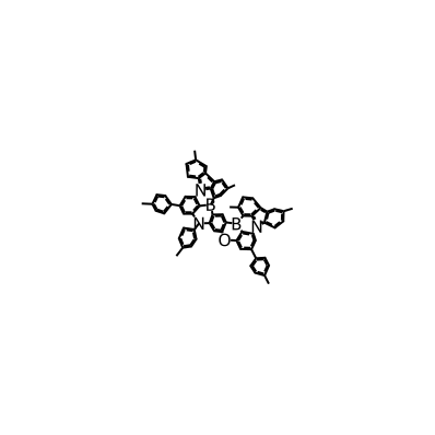 Cc1ccc(-c2cc3c4c(c2)-n2c5ccc(C)cc5c5ccc(C)c(c52)B4c2cc4c(cc2O3)N(c2ccc(C)cc2)c2cc(-c3ccc(C)cc3)cc3c2B4c2cc(C)cc4c5cc(C)ccc5n-3c24)cc1